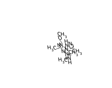 CCOCCN1N=C(CC)C2N=C(N3C[C@H](C)NC[C@H]3C)N=C(Nc3cc(C)ccn3)C21